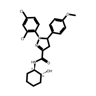 COc1ccc(C2CC(C(=O)N[C@@H]3CCCC[C@H]3O)=NN2c2ccc(Cl)cc2Cl)cc1